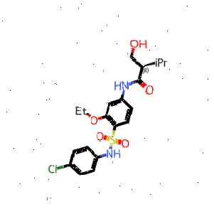 CCOc1cc(NC(=O)[C@@H](CO)C(C)C)ccc1S(=O)(=O)Nc1ccc(Cl)cc1